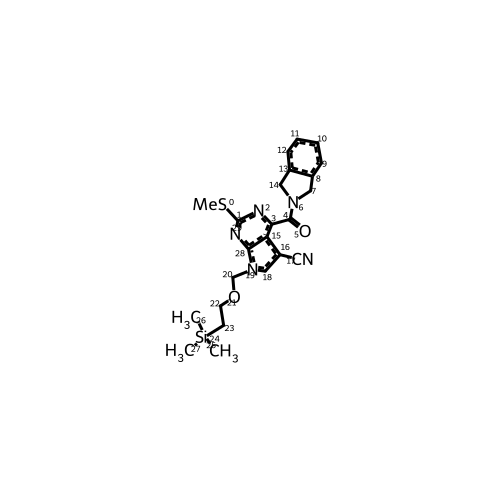 CSc1nc(C(=O)N2Cc3ccccc3C2)c2c(C#N)cn(COCC[Si](C)(C)C)c2n1